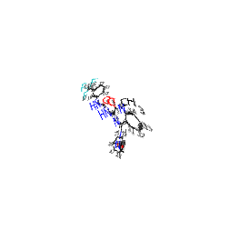 CN1C(=O)[C@H](NC(=O)Nc2cccc(C(F)(F)F)c2)N=C(N2CC3CCC(CC3)C2)c2ccccc21